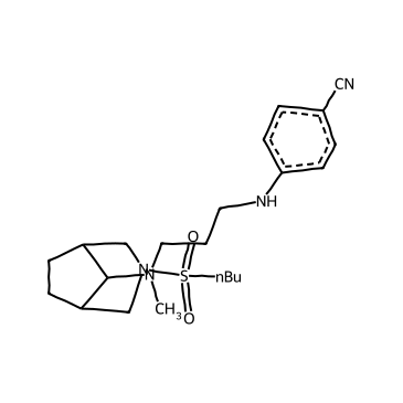 CCCCS(=O)(=O)N1CC2CCC(C1)C2N(C)CCCNc1ccc(C#N)cc1